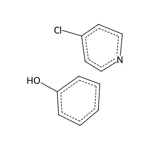 Clc1ccncc1.Oc1ccccc1